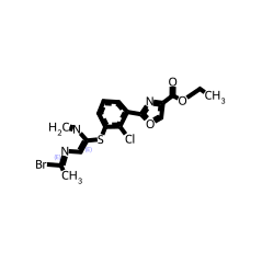 C=N/C(=C\N=C(/C)Br)Sc1cccc(-c2nc(C(=O)OCC)co2)c1Cl